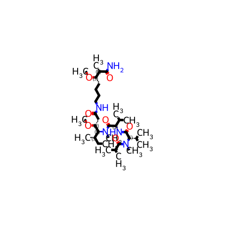 CC[C@H](C)[C@@H]([C@@H](CC(=O)NCCCC[C@H](OC)[C@@H](C)C(N)=O)OC)N(C)C(=O)[C@@H](NC(=O)[C@H](C(C)C)N(C)C(=O)C(C)C)C(C)C